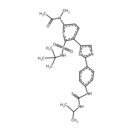 CC(=O)N(C)c1ccc(-c2cnc(-c3ccc(NC(=S)NC(C)C)cc3)s2)c(S(=O)(=O)NC(C)(C)C)c1